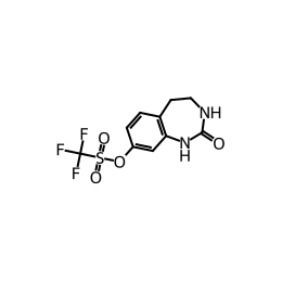 O=C1NCCc2ccc(OS(=O)(=O)C(F)(F)F)cc2N1